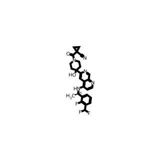 C[C@@H](Nc1ccnc2cnc(C3(O)CCN(C(=O)C4(C#N)CC4)CC3)cc12)c1cccc(C(F)F)c1F